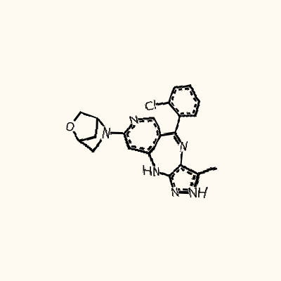 Cc1[nH]nc2c1N=C(c1ccccc1Cl)c1cnc(N3CC4CC3CO4)cc1N2